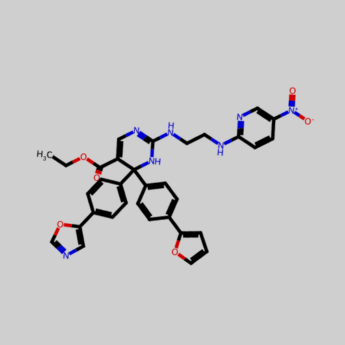 CCOC(=O)C1=CN=C(NCCNc2ccc([N+](=O)[O-])cn2)NC1(c1ccc(-c2ccco2)cc1)c1ccc(-c2cnco2)cc1